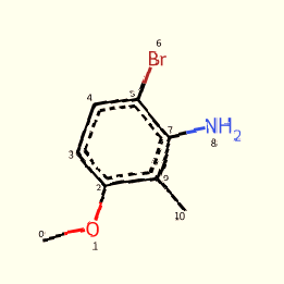 COc1ccc(Br)c(N)c1C